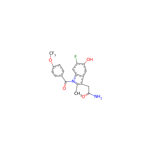 Cc1c(CC(N)=O)c2cc(O)c(F)cc2n1C(=O)c1ccc(OC(F)(F)F)cc1